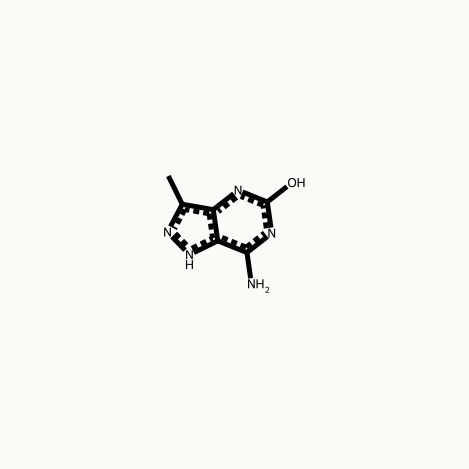 Cc1n[nH]c2c(N)nc(O)nc12